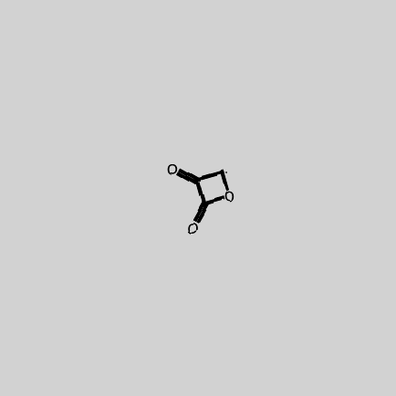 O=C1[CH]OC1=O